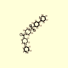 O=C(C1CCN(c2ccncc2)CC1)N1CCN(S(=O)(=O)c2ccc(-c3ccccn3)cc2)CC1